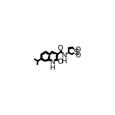 CC(C)c1ccc2cc(C(=O)N[C@H]3C=CS(=O)(=O)C3)c(=O)[nH]c2c1